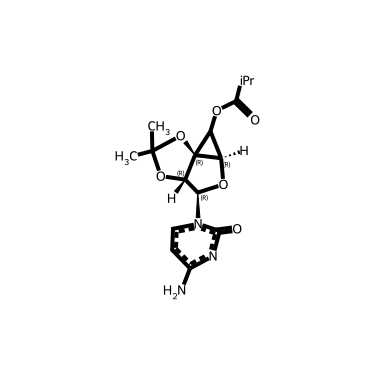 CC(C)C(=O)OC1[C@H]2O[C@@H](n3ccc(N)nc3=O)[C@@H]3OC(C)(C)O[C@@]123